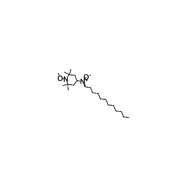 CCCCCCCCCCCC=[N+]([O-])C1CC(C)(C)N(OC)C(C)(C)C1